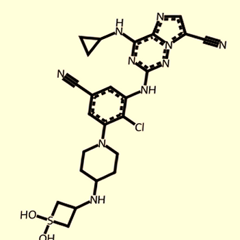 N#Cc1cc(Nc2nc(NC3CC3)c3ncc(C#N)n3n2)c(Cl)c(N2CCC(NC3CS(O)(O)C3)CC2)c1